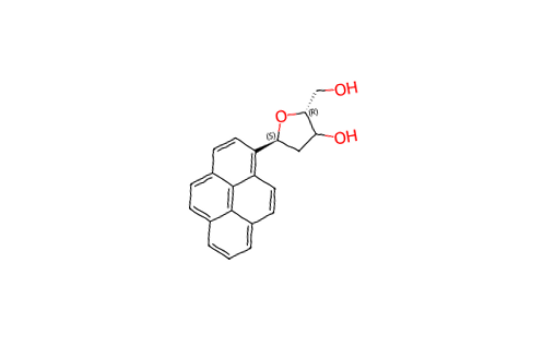 OC[C@H]1O[C@H](c2ccc3ccc4cccc5ccc2c3c45)CC1O